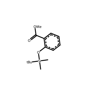 COC(=O)c1cc[c]cc1O[Si](C)(C)C(C)(C)C